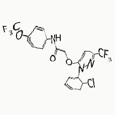 O=C(COc1cc(C(F)(F)F)nn1C1=CC=CCC1Cl)Nc1ccc(OC(F)(F)F)cc1